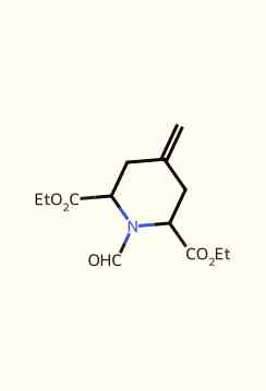 C=C1CC(C(=O)OCC)N(C=O)C(C(=O)OCC)C1